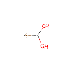 OC(O)[S]